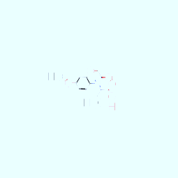 CCC(C(=O)O)N1C(=O)COc2cc(OC)ccc21